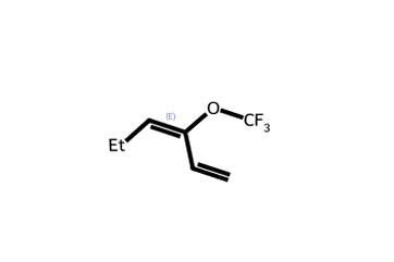 C=C/C(=C\CC)OC(F)(F)F